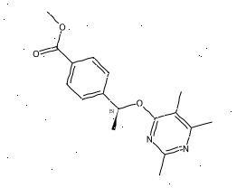 COC(=O)c1ccc([C@H](C)Oc2nc(C)nc(C)c2C)cc1